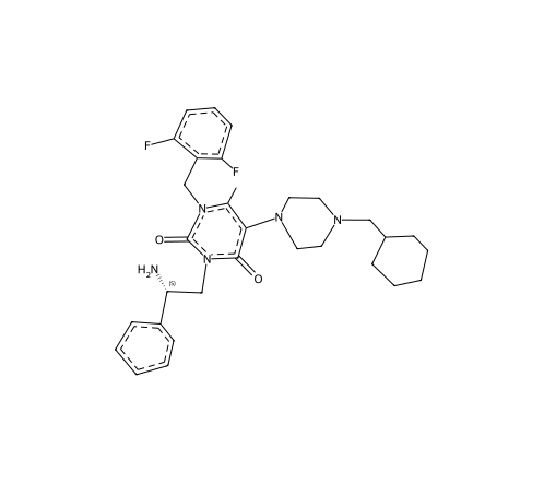 Cc1c(N2CCN(CC3CCCCC3)CC2)c(=O)n(C[C@@H](N)c2ccccc2)c(=O)n1Cc1c(F)cccc1F